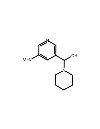 CNc1cncc(C(O)N2CCCCC2)c1